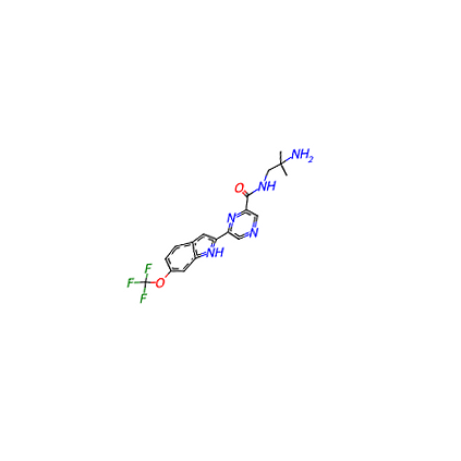 CC(C)(N)CNC(=O)c1cncc(-c2cc3ccc(OC(F)(F)F)cc3[nH]2)n1